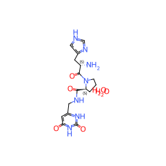 N[C@@H](Cc1c[nH]cn1)C(=O)N1CCC[C@H]1C(=O)NCc1cc(=O)[nH]c(=O)[nH]1.O.O